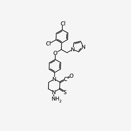 NN1CCN(c2ccc(OC(Cn3ccnc3)c3ccc(Cl)cc3Cl)cc2)C(=C=O)C1=S